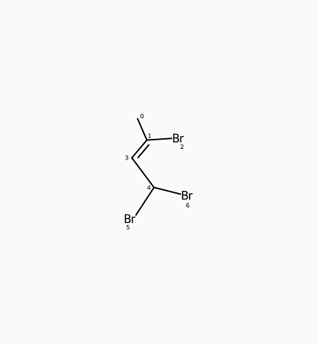 CC(Br)=CC(Br)Br